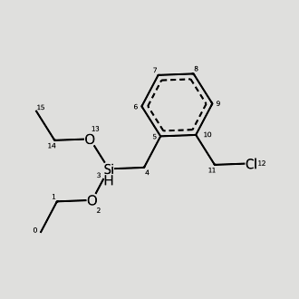 CCO[SiH](Cc1ccccc1CCl)OCC